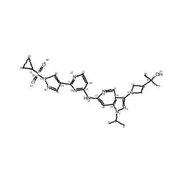 CC(C)n1nc(N2CC(C(C)(C)O)C2)c2cnc(Nc3ccnc(-c4cnn(S(=O)(=O)C5CC5)c4)n3)cc21